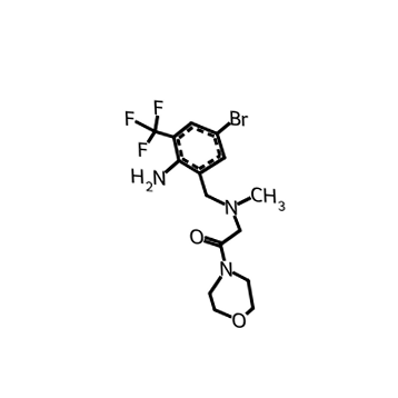 CN(CC(=O)N1CCOCC1)Cc1cc(Br)cc(C(F)(F)F)c1N